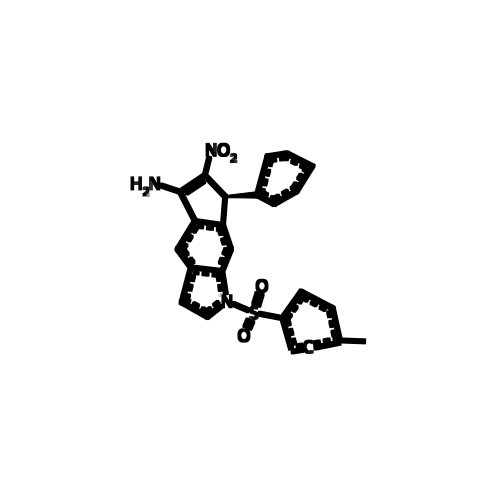 Cc1ccc(S(=O)(=O)n2ccc3cc4c(cc32)[C@H](c2ccccc2)C([N+](=O)[O-])=C4N)cc1